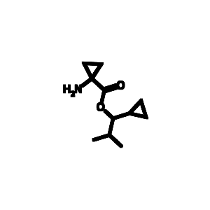 CC(C)C(OC(=O)C1(N)CC1)C1CC1